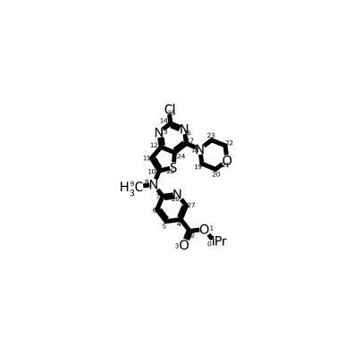 CC(C)OC(=O)c1ccc(N(C)c2cc3nc(Cl)nc(N4CCOCC4)c3s2)nc1